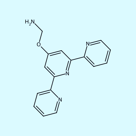 NCOc1cc(-c2ccccn2)nc(-c2ccccn2)c1